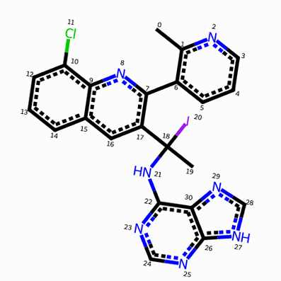 Cc1ncccc1-c1nc2c(Cl)cccc2cc1C(C)(I)Nc1ncnc2[nH]cnc12